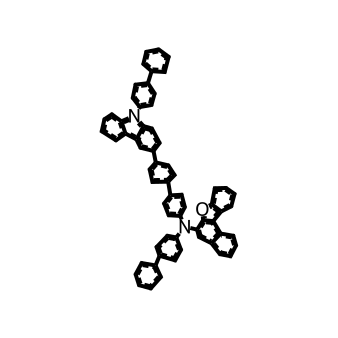 c1ccc(-c2ccc(N(c3ccc(-c4ccc(-c5ccc6c(c5)c5ccccc5n6-c5ccc(-c6ccccc6)cc5)cc4)cc3)c3cc4ccccc4c4c3oc3ccccc34)cc2)cc1